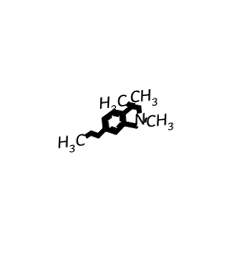 CCCc1ccc2c(c1)CN(C)CC2(C)C